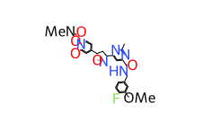 CNC(=O)On1ccc(C2CC(c3cc(C(=O)NCc4ccc(F)c(OC)c4)nc(C)n3)=NO2)cc1=O